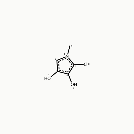 Cn1cc(O)c(O)c1Cl